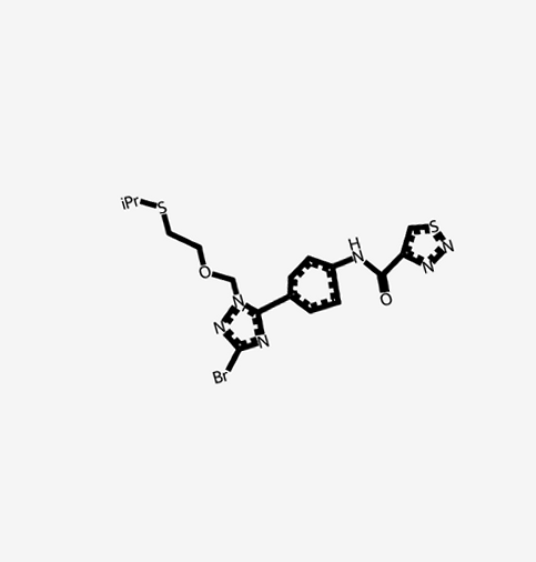 CC(C)SCCOCn1nc(Br)nc1-c1ccc(NC(=O)c2csnn2)cc1